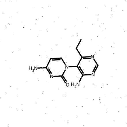 CCc1ncnc(N)c1-n1ccc(N)nc1=O